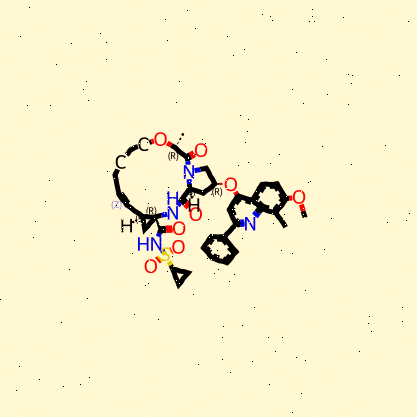 COc1ccc2c(O[C@@H]3C[C@H]4C(=O)N[C@]5(C(=O)NS(=O)(=O)C6CC6)C[C@H]5/C=C\CCCCO[C@H](C)C(=O)N4C3)cc(-c3ccccc3)nc2c1C